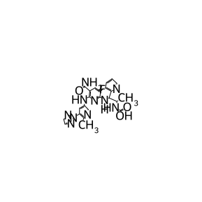 Cc1ncc(Nc2nc(N[C@H](c3ccccn3)[C@H](C)NC(=O)O)c(F)cc2C(N)=O)cc1-n1nccn1